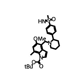 COc1cc(C)c2c(ccn2C(=O)OC(C)(C)C)c1CN1CCCCC1c1ccc(S(C)(=N)=O)cc1